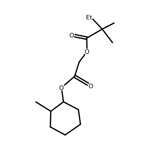 CCC(C)(C)C(=O)OCC(=O)OC1CCCCC1C